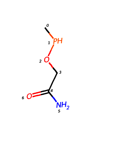 CPOCC(N)=O